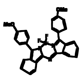 COc1ccc(C2=[N+]3C(=Nc4c5ccccc5c(-c5ccc(OC)cc5)n4[B-]3(F)F)c3ccccc32)cc1